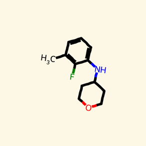 Cc1cccc(NC2CCOCC2)c1F